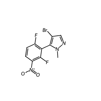 Cn1ncc(Br)c1-c1c(F)ccc([N+](=O)[O-])c1F